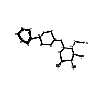 O[C@H]1[C@H](O)[C@@H](O)CN(CC2CCN(c3ccccc3)CC2)[C@@H]1CF